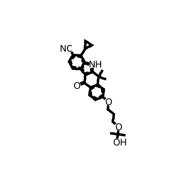 CC(C)(O)OCCCOc1ccc2c(c1)C(C)(C)c1[nH]c3c(C4CC4)c(C#N)ccc3c1C2=O